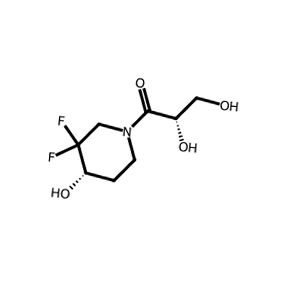 O=C([C@@H](O)CO)N1CC[C@H](O)C(F)(F)C1